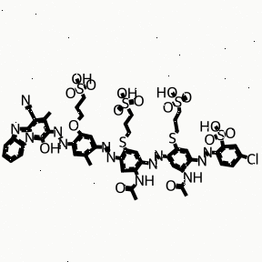 CC(=O)Nc1cc(N=Nc2cc(OCCCS(=O)(=O)O)c(N=Nc3c(C)c(C#N)c4nc5ccccc5n4c3O)cc2C)c(SCCCS(=O)(=O)O)cc1N=Nc1cc(NC(C)=O)c(N=Nc2ccc(Cl)cc2S(=O)(=O)O)cc1SCCCS(=O)(=O)O